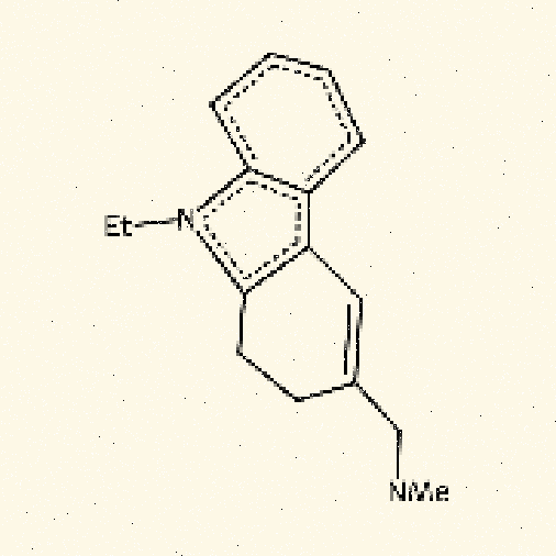 CCn1c2c(c3ccccc31)C=C(CNC)CC2